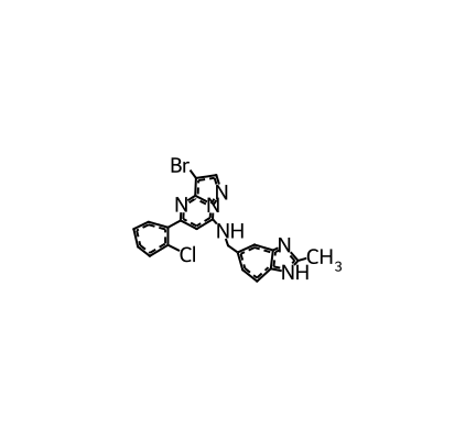 Cc1nc2cc(CNc3cc(-c4ccccc4Cl)nc4c(Br)cnn34)ccc2[nH]1